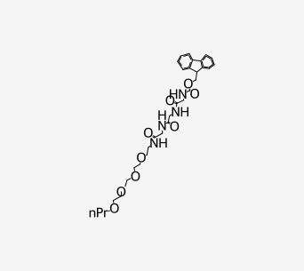 CCCOCCOCCOCCOCCNC(=O)CNC(=O)CNC(=O)CNC(=O)OCC1c2ccccc2-c2ccccc21